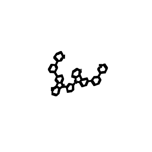 c1cncc(-c2cccc(-c3ccc4c(c3)c3ncccc3n4-c3cccc(-n4c5ccc(-c6cccc(-c7cccnc7)c6)cc5c5ncccc54)c3)c2)c1